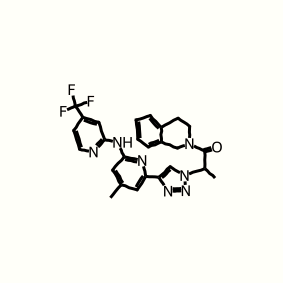 Cc1cc(Nc2cc(C(F)(F)F)ccn2)nc(-c2cn(C(C)C(=O)N3CCc4ccccc4C3)nn2)c1